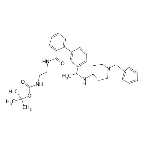 CC(NC1CCN(Cc2ccccc2)CC1)c1cccc(-c2ccccc2C(=O)NCCNC(=O)OC(C)(C)C)c1